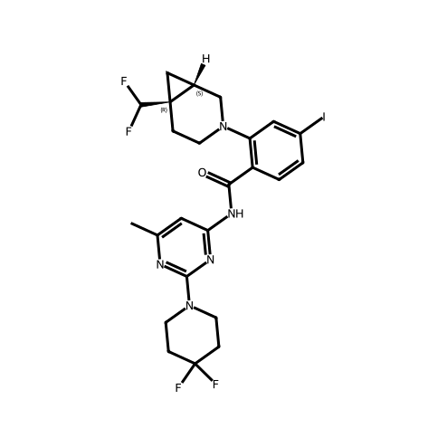 Cc1cc(NC(=O)c2ccc(I)cc2N2CC[C@]3(C(F)F)C[C@@H]3C2)nc(N2CCC(F)(F)CC2)n1